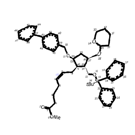 COC(=O)CCC/C=C\C[C@@H]1[C@@H](CO[Si](c2ccccc2)(c2ccccc2)C(C)(C)C)[C@H](OC2CCCCO2)C[C@@H]1OCc1ccc(-c2ccccc2)cc1